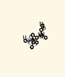 C=Cc1c(/C=C(\C)c2ccccc2)c2cc(-c3ccccc3)ccc2n1-c1c(-c2ccccc2)cc(-c2nc(-c3ccccc3)nc(-c3ccc4c(c3)oc3ccncc34)n2)cc1-c1ccccc1